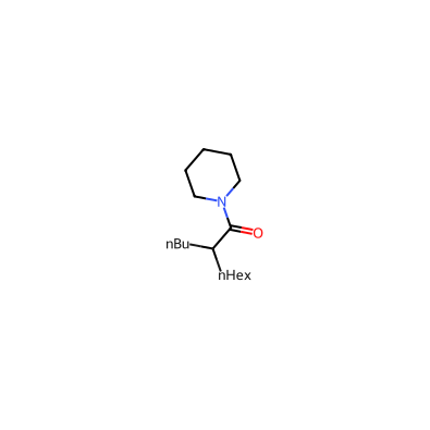 CCCCCCC(CCCC)C(=O)N1CCCCC1